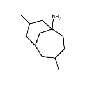 CC1CCC2(N)CC(C)CC(C1)C2